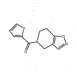 O=C(c1ccco1)N1CCc2oncc2C1